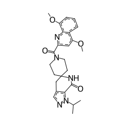 COc1cc(C(=O)N2CCC3(CC2)Cc2cnn(C(C)C)c2C(=O)N3)nc2c(OC)cccc12